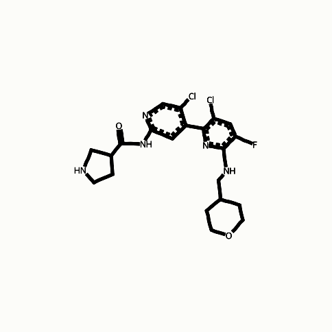 O=C(Nc1cc(-c2nc(NCC3CCOCC3)c(F)cc2Cl)c(Cl)cn1)C1CCNC1